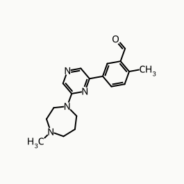 Cc1ccc(-c2cncc(N3CCCN(C)CC3)n2)cc1C=O